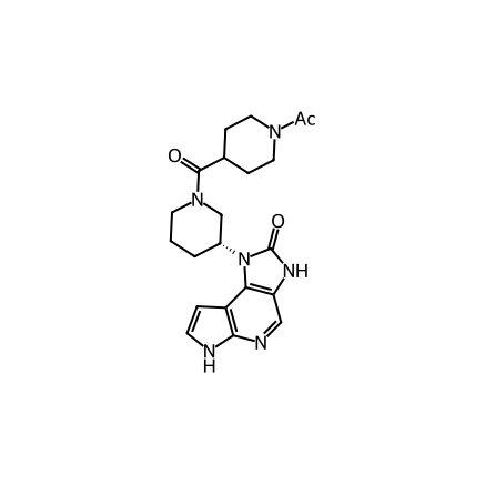 CC(=O)N1CCC(C(=O)N2CCC[C@@H](n3c(=O)[nH]c4cnc5[nH]ccc5c43)C2)CC1